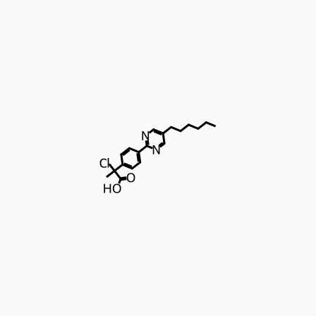 CCCCCCc1cnc(-c2ccc(C(C)(Cl)C(=O)O)cc2)nc1